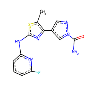 Cc1sc(Nc2cccc(F)n2)nc1-c1cnn(C(N)=O)c1